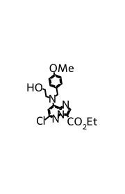 CCOC(=O)c1cnc2c(N(CCO)Cc3ccc(OC)cc3)cc(Cl)nn12